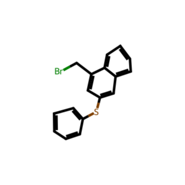 BrCc1cc(Sc2ccccc2)cc2ccccc12